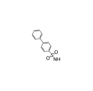 [NH]S(=O)(=O)c1ccc(-c2ccccc2)cc1